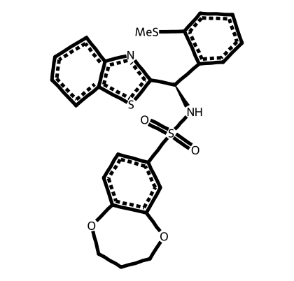 CSc1ccccc1[C@@H](NS(=O)(=O)c1ccc2c(c1)OCCCO2)c1nc2ccccc2s1